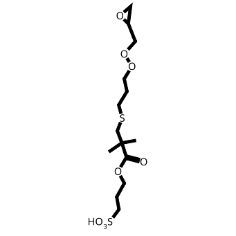 CC(C)(CSCCCOOCC1CO1)C(=O)OCCCS(=O)(=O)O